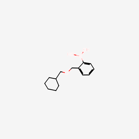 OB(O)c1ccccc1COCC1CCCCC1